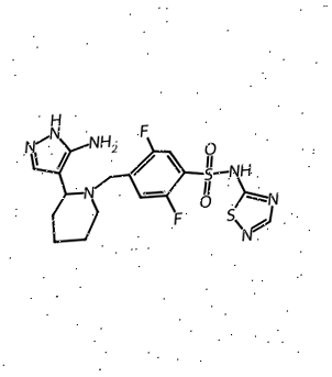 Nc1[nH]ncc1C1CCCCN1Cc1cc(F)c(S(=O)(=O)Nc2ncns2)cc1F